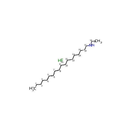 CCCCCCCCCCCCCCCCCCNCC.F